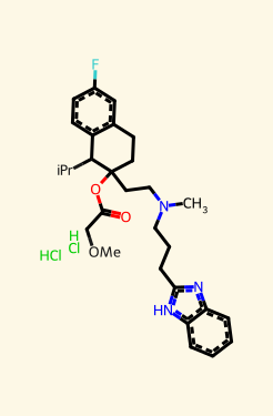 COCC(=O)OC1(CCN(C)CCCc2nc3ccccc3[nH]2)CCc2cc(F)ccc2C1C(C)C.Cl.Cl